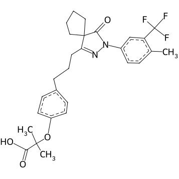 Cc1ccc(N2N=C(CCCc3ccc(OC(C)(C)C(=O)O)cc3)C3(CCCC3)C2=O)cc1C(F)(F)F